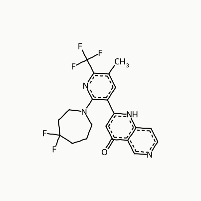 Cc1cc(-c2cc(=O)c3cnccc3[nH]2)c(N2CCCC(F)(F)CC2)nc1C(F)(F)F